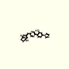 Oc1cc(-n2ccnc2)ccc1-c1cnc(/C=C2\C[C@H]3CC[C@@H](C2)N3)cn1